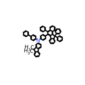 CC1(C)c2ccccc2-c2ccc(N(c3ccc(-c4ccccc4)cc3)c3ccc(-c4c5c(c6ccccc6c4-c4ccccc4)C(c4ccccc4)(c4ccccc4)c4ccccc4-5)cc3)cc21